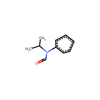 CC(C)N([C]=O)c1ccccc1